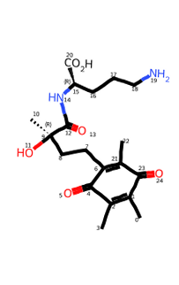 CC1=C(C)C(=O)C(CC[C@@](C)(O)C(=O)N[C@H](CCCN)C(=O)O)=C(C)C1=O